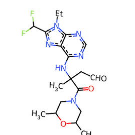 CCn1c(C(F)F)nc2c(NC(C)(CC=O)C(=O)N3CC(C)OC(C)C3)ncnc21